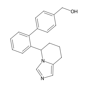 OCc1ccc(-c2ccccc2C2CCCc3cncn32)cc1